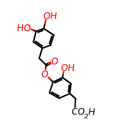 O=C(O)Cc1ccc(OC(=O)Cc2ccc(O)c(O)c2)c(O)c1